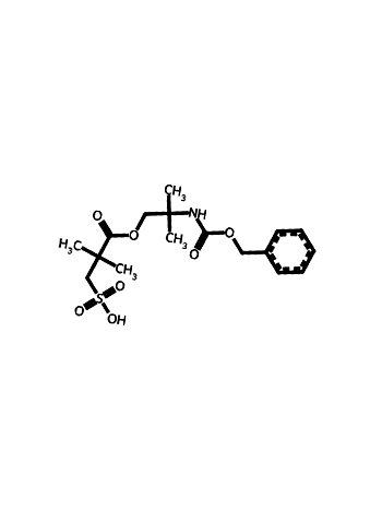 CC(C)(COC(=O)C(C)(C)CS(=O)(=O)O)NC(=O)OCc1ccccc1